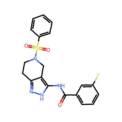 O=C(Nc1[nH]nc2c1CN(S(=O)(=O)c1ccccc1)CC2)c1cccc(F)c1